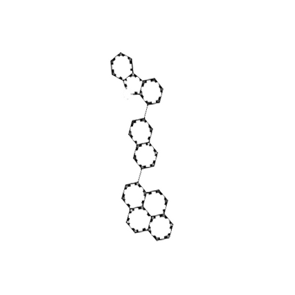 c1cc2ccc3ccc(-c4ccc5cc(-c6cccc7c6oc6ccccc67)ccc5c4)c4ccc(c1)c2c34